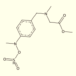 COC(=O)CN(C)Cc1ccc(N(C)O[SH](=O)=O)cc1